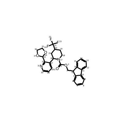 O=C(OCC1c2ccccc2-c2ccccc21)N1CCC(C(F)(F)F)CC1c1cccnc1C1OCCO1